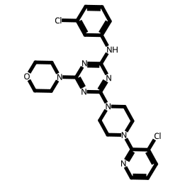 Clc1cccc(Nc2nc(N3CCOCC3)nc(N3CCN(c4ncccc4Cl)CC3)n2)c1